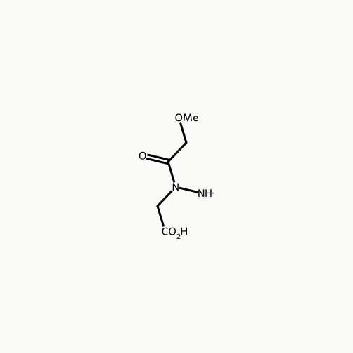 COCC(=O)N([NH])CC(=O)O